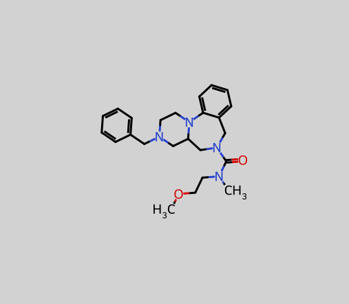 COCCN(C)C(=O)N1Cc2ccccc2N2CCN(Cc3ccccc3)CC2C1